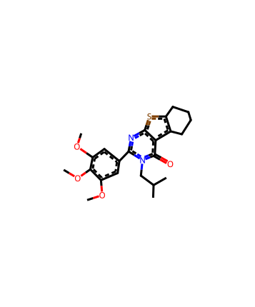 COc1cc(-c2nc3sc4c(c3c(=O)n2CC(C)C)CCCC4)cc(OC)c1OC